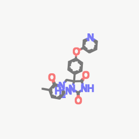 Cc1cccn(CC2(c3ccc(Oc4cccnc4)cc3)C(=O)NC(=O)N2N)c1=O